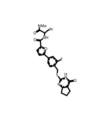 CNC(=O)C(NC(=O)c1ccc(-c2ccc(CSc3nc4c(c(=O)[nH]3)CCC4)c(F)c2)o1)C(C)C